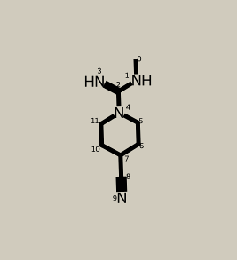 CNC(=N)N1CCC(C#N)CC1